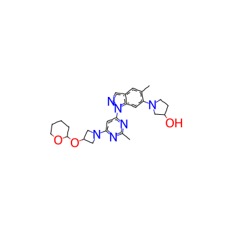 Cc1nc(N2CC(OC3CCCCO3)C2)cc(-n2ncc3cc(C)c(N4CCC(O)C4)cc32)n1